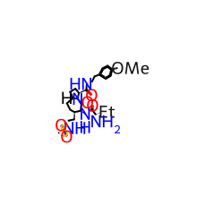 CC[C@H](N)C(=O)N[C@@H]1C(=O)N2[C@@H](CC[C@@H]1CCNS(C)(=O)=O)CC[C@H]2C(=O)NCCc1ccc(OC)cc1